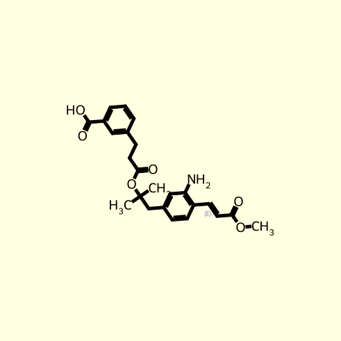 COC(=O)/C=C/c1ccc(CC(C)(C)OC(=O)CCc2cccc(C(=O)O)c2)cc1N